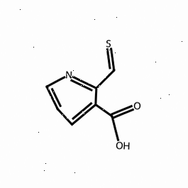 O=C(O)c1cccnc1C=S